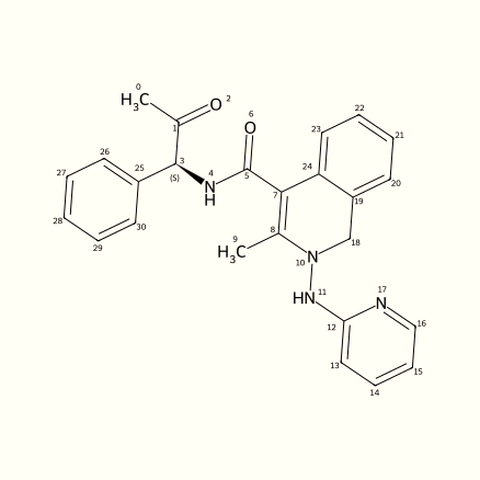 CC(=O)[C@@H](NC(=O)C1=C(C)N(Nc2ccccn2)Cc2ccccc21)c1ccccc1